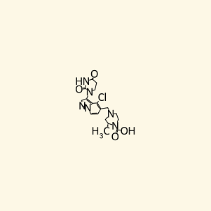 C[C@H]1CN(Cc2ccn3ncc(N4CCC(=O)NC4=O)c3c2Cl)CCN1C(=O)O